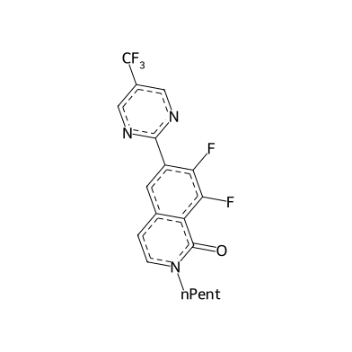 CCCCCn1ccc2cc(-c3ncc(C(F)(F)F)cn3)c(F)c(F)c2c1=O